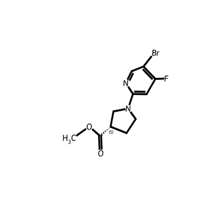 COC(=O)[C@H]1CCN(c2cc(F)c(Br)cn2)C1